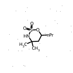 CCCC1CC(C)(C)NS(=O)(=O)O1